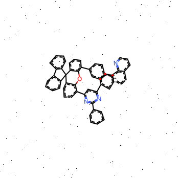 c1ccc(-c2cc(-c3cccc4c3Oc3c(-c5ccc(-c6cccc7cccnc67)cc5)cccc3C43c4ccccc4-c4ccccc43)nc(-c3ccccc3)n2)cc1